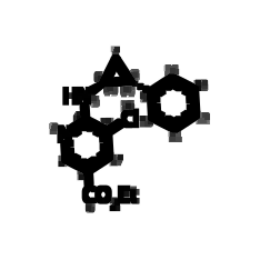 CCOC(=O)c1cnc(N[C@H]2C[C@@H]2c2ccccc2)c(Cl)c1